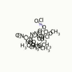 COc1cc(OC/C=C/C(=O)Cl)c(Cl)c(N(COCC[Si](C)(C)C)C(=O)N(C)c2cc(N(C(=O)OC(C)(C)C)c3ccc(N4CCOCC4)cc3N)ncn2)c1Cl